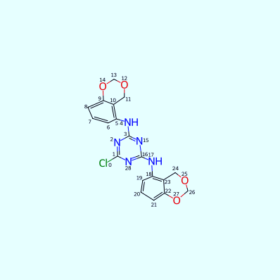 Clc1nc(Nc2cccc3c2COCO3)nc(Nc2cccc3c2COCO3)n1